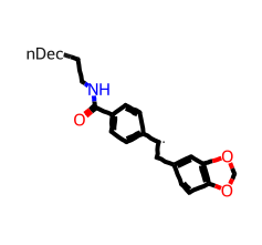 CCCCCCCCCCCCNC(=O)c1ccc([CH]Cc2ccc3c(c2)OCO3)cc1